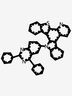 c1ccc(-c2nc(-c3ccccc3)c3cc(-n4c5ccccc5c5c6cccnc6c6sc7ccccc7c6c54)ccc3n2)cc1